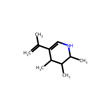 C=C(C)C1=CNC(C)C(C)C1C